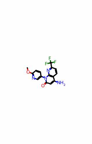 COc1ccc(-n2c(=O)cc(N)c3ccc(C(F)(F)F)nc32)cn1